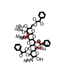 CCCCO[C@@H]1[C@H](OCCCC)C(O[C@@H]2C(COC(=O)c3ccccc3)OC(O)[C@@H](N=[N+]=[N-])[C@H]2OC(=O)C(=O)c2ccccc2)OC(C(=O)OC)[C@H]1O[C@@H]1OC(COC(=O)C(=O)c2ccccc2)[C@@H](OCCCC)[C@H](OCCCC)C1N=[N+]=[N-]